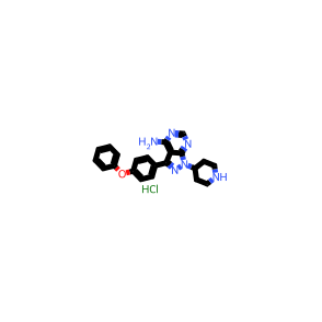 Cl.Nc1ncnc2c1c(-c1ccc(Oc3ccccc3)cc1)nn2C1CCNCC1